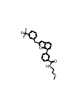 CSCCNC(=O)c1cccc(-c2cccc3cc(Cc4cccc(C(F)(F)F)c4)oc23)c1